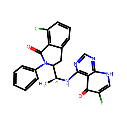 C[C@H](Nc1ncnc2[nH]cc(F)c(=O)c12)C1Cc2cccc(Cl)c2C(=O)N1c1ccccc1